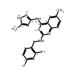 Cc1ccc2nc(NCc3ccc(F)cc3F)nc(Nc3cc(C)[nH]n3)c2c1